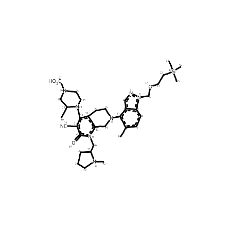 Cc1ccc2c(cnn2COCC[Si](C)(C)C)c1N1CCc2c(N3CCN(C(=O)O)CC3C)c(C#N)c(=O)n(CC3CCCN3C)c2C1